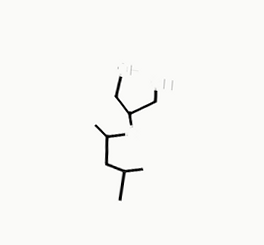 CC(C)CC(C)OC(CO)CO